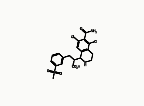 CS(=O)(=O)c1cccc(C[C@H](C(=O)O)C2NCCc3c2cc(Cl)c(C(N)=O)c3Cl)c1